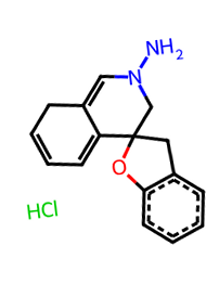 Cl.NN1C=C2CC=CC=C2C2(Cc3ccccc3O2)C1